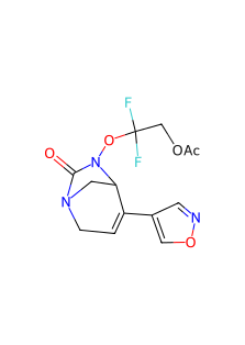 CC(=O)OCC(F)(F)ON1C(=O)N2CC=C(c3cnoc3)C1C2